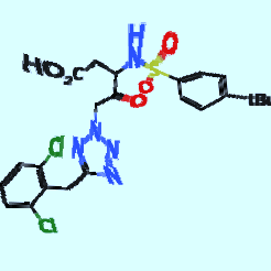 CC(C)(C)c1ccc(S(=O)(=O)NC(CC(=O)O)C(=O)Cn2nnc(Cc3c(Cl)cccc3Cl)n2)cc1